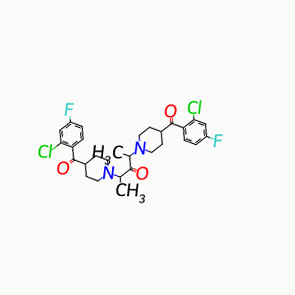 CC(C(=O)C(C)N1CCC(C(=O)c2ccc(F)cc2Cl)CC1)N1CCC(C(=O)c2ccc(F)cc2Cl)CC1